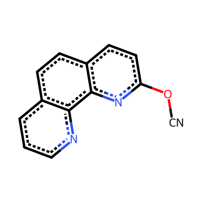 N#COc1ccc2ccc3cccnc3c2n1